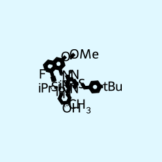 COCOc1cc(Cn2cnc3c(SCc4ccc(C(C)(C)C)cc4)nc(N4CCC[C@](C)(O)C4)nc32)c2c(C#C[Si](C(C)C)(C(C)C)C(C)C)c(F)ccc2c1